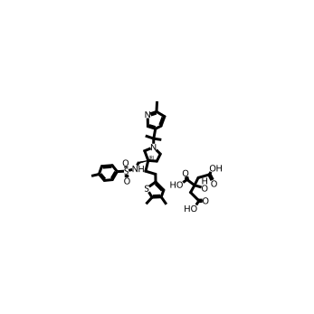 Cc1ccc(S(=O)(=O)NC[C@]2(CCc3cc(C)c(C)s3)CCN(C(C)(C)c3ccc(C)nc3)C2)cc1.O=C(O)CC(O)(CC(=O)O)C(=O)O